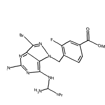 CCCC(N)Nc1nc(N)nc2c(Br)nn(Cc3ccc(C(=O)OC)cc3F)c12